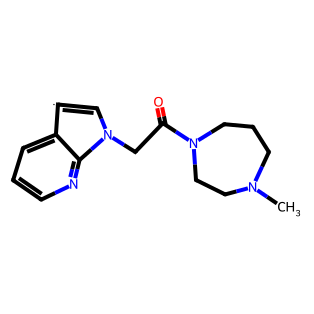 CN1CCCN(C(=O)Cn2c[c]c3cccnc32)CC1